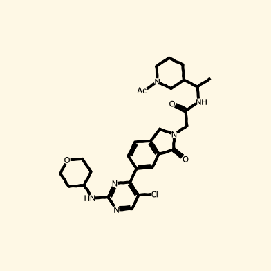 CC(=O)N1CCCC(C(C)NC(=O)CN2Cc3ccc(-c4nc(NC5CCOCC5)ncc4Cl)cc3C2=O)C1